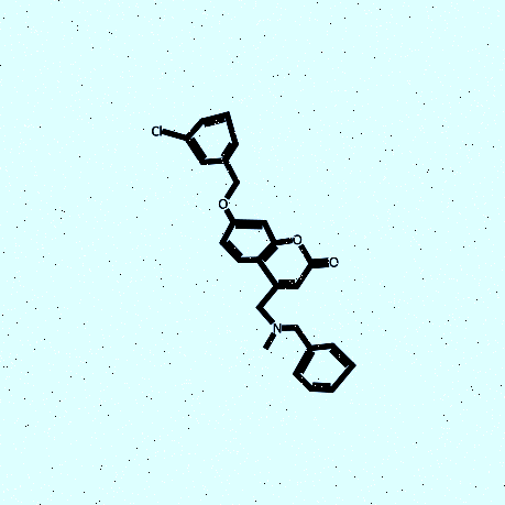 CN(Cc1ccccc1)Cc1cc(=O)oc2cc(OCc3cccc(Cl)c3)ccc12